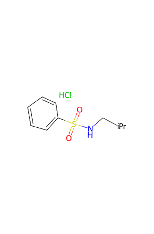 CC(C)CNS(=O)(=O)c1ccccc1.Cl